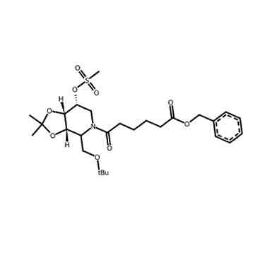 CC(C)(C)OCC1[C@@H]2OC(C)(C)O[C@@H]2[C@H](OS(C)(=O)=O)CN1C(=O)CCCCC(=O)OCc1ccccc1